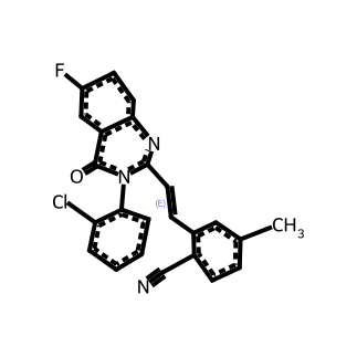 Cc1ccc(C#N)c(/C=C/c2nc3ccc(F)cc3c(=O)n2-c2ccccc2Cl)c1